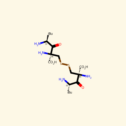 CCC(C)[C@H](N)C(=O)[C@](N)(CSSC[C@](N)(C(=O)O)C(=O)[C@@H](N)C(C)CC)C(=O)O